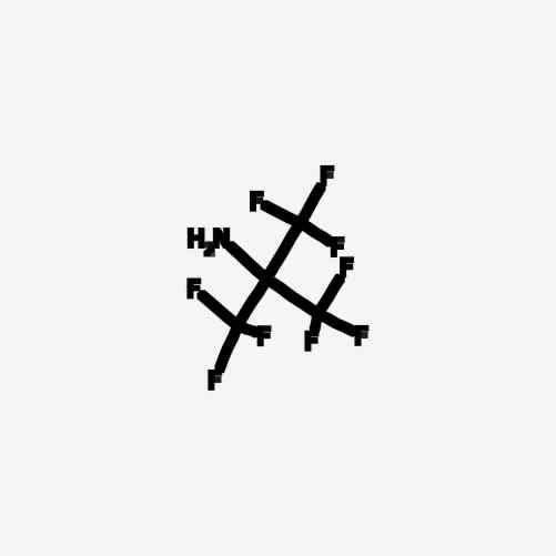 NC(C(F)(F)F)(C(F)(F)F)C(F)(F)F